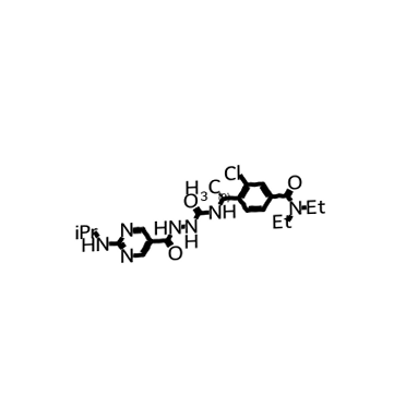 CCN(CC)C(=O)c1ccc([C@@H](C)NC(=O)NNC(=O)c2cnc(NC(C)C)nc2)c(Cl)c1